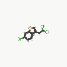 ClC(Cl)Cc1csc2cc(Br)ccc12